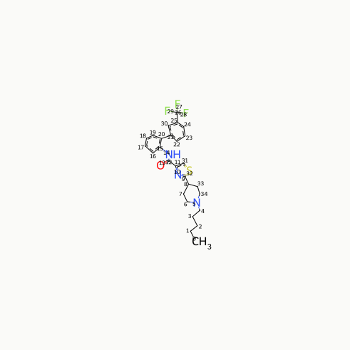 CCCCCN1CCC(c2nc(C(=O)Nc3ccccc3-c3cccc(C(F)(F)F)c3)cs2)CC1